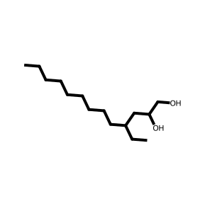 CCCCCCCCCC(CC)CC(O)CO